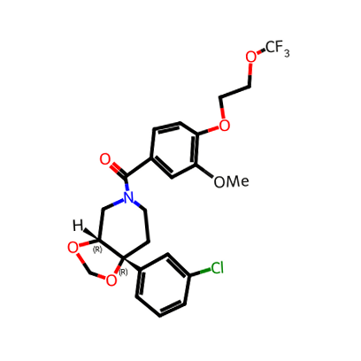 COc1cc(C(=O)N2CC[C@]3(c4cccc(Cl)c4)OCO[C@@H]3C2)ccc1OCCOC(F)(F)F